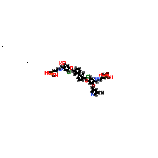 Cc1c(COc2cc(O)c(CNCCCP(O)O)cc2Cl)cccc1-c1cccc(COc2cc(OCc3cncc(C#N)c3)c(CNCCCP(=O)(O)O)cc2Cl)c1C